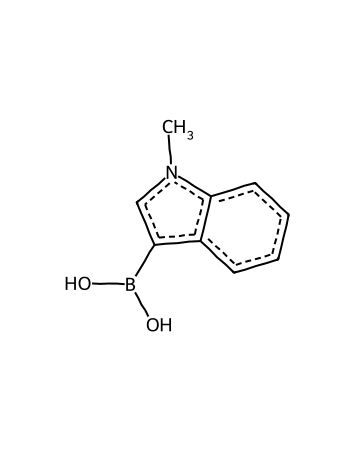 Cn1cc(B(O)O)c2ccccc21